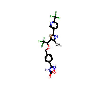 Cc1nc(-c2ccc(C(F)(F)F)nc2)sc1C(OCc1ccc(-c2noc(=O)[nH]2)cc1)C(F)(F)F